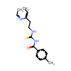 C/C=N\C(=C/C)CCNC(=S)NC(=O)c1ccc(C)cc1